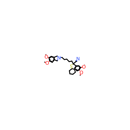 COc1ccc(C(C#N)(CCCCCN2Cc3cc(OC)c(OC)cc3C2)SC2CCCCC2)cc1OC